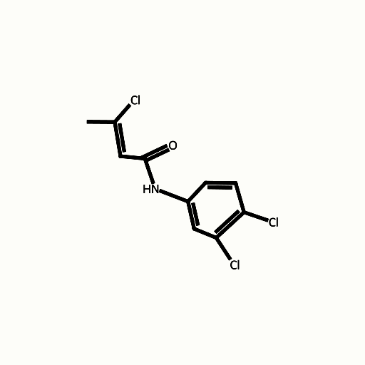 CC(Cl)=CC(=O)Nc1ccc(Cl)c(Cl)c1